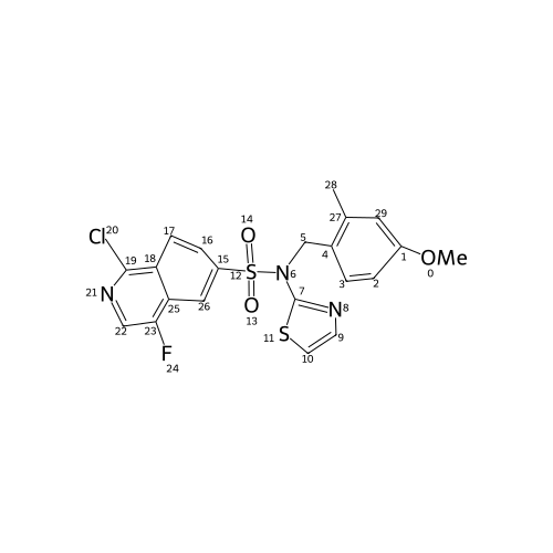 COc1ccc(CN(c2nccs2)S(=O)(=O)c2ccc3c(Cl)ncc(F)c3c2)c(C)c1